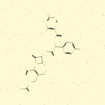 CC(=O)OCC1=C(C(=O)O)N2C(=O)C(NC(=O)C(NC(=O)c3nnc(O)nc3O)c3ccc(O)cc3)[C@H]2SC1